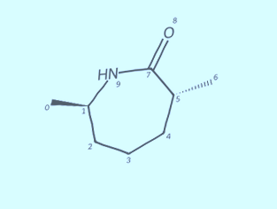 C[C@@H]1CCC[C@@H](C)C(=O)N1